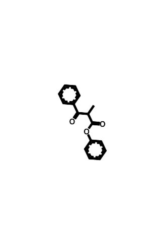 CC(C(=O)Oc1ccccc1)C(=O)c1ccccc1